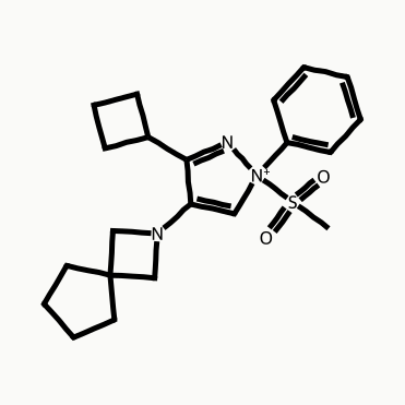 CS(=O)(=O)[N+]1(c2ccccc2)C=C(N2CC3(CCCC3)C2)C(C2CCC2)=N1